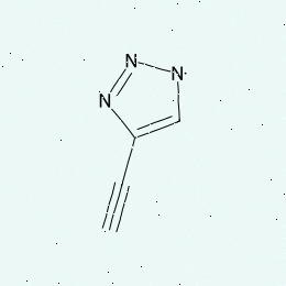 C#CC1=C[N]N=N1